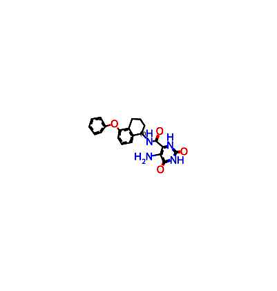 Nc1c(C(=O)N[C@@H]2CCCc3c(Oc4ccccc4)cccc32)[nH]c(=O)[nH]c1=O